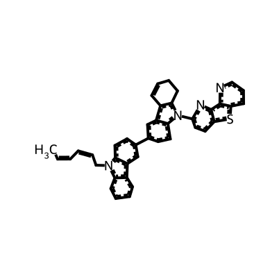 C/C=C\C=C/Cn1c2ccccc2c2cc(-c3ccc4c(c3)c3c(n4-c4ccc5sc6cccnc6c5n4)CCC=C3)ccc21